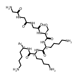 CC(=O)[C@H](CCCCN)NC(=O)[C@H](CCCCN)NC(=O)[C@H](CCCCN)NC(=O)[C@H](CO)NC(=O)CNC(=O)CNC(=O)CN